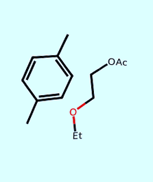 CCOCCOC(C)=O.Cc1ccc(C)cc1